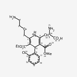 CCOC(=O)C1=C(COCCN)NC(C)=C(C(=O)OC)C1c1ccccc1Cl.NCC(=O)O